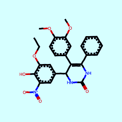 CCOc1cc(C2NC(=O)NC(c3ccccc3)=C2c2ccc(OC)c(OC)c2)cc([N+](=O)[O-])c1O